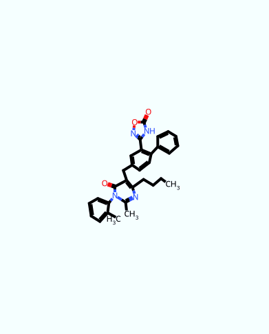 CCCCc1nc(C)n(-c2ccccc2C)c(=O)c1Cc1ccc(-c2ccccc2)c(-c2noc(=O)[nH]2)c1